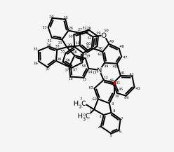 CC1(C)c2ccccc2-c2ccc(N(c3ccc4c(c3)C3(c5ccccc5-c5ccccc53)c3ccccc3-4)c3c(-c4ccccc4)ccc4oc5ccc6ccccc6c5c34)cc21